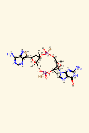 CO[C@H]1[C@H]2O[P@@](=O)(S)OC[C@H]3O[C@@H](c4snc5c(N)ncnc45)C[C@@H]3O[P@](=O)(S)OC[C@H]1O[C@H]2n1cnc2c(=O)[nH]c(N)nc21